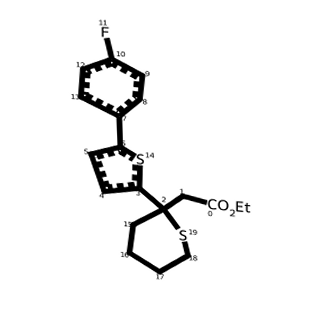 CCOC(=O)CC1(c2ccc(-c3ccc(F)cc3)s2)CCCCS1